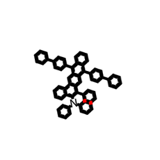 c1ccc(-c2ccc(-c3c4ccccc4c(-c4ccc(-c5ccccc5)cc4)c4cc5c(cc34)c(-c3ccccc3)c(N(c3ccccc3)c3ccccc3)c3ccccc35)cc2)cc1